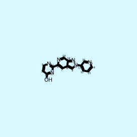 Oc1ccnc(-c2cc3cn(-c4cccnc4)nc3cn2)n1